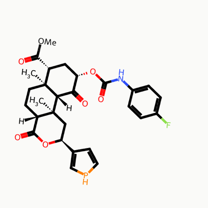 COC(=O)[C@@H]1C[C@H](OC(=O)Nc2ccc(F)cc2)C(=O)[C@H]2[C@@]1(C)CC[C@H]1C(=O)O[C@H](c3cc[pH]c3)C[C@]21C